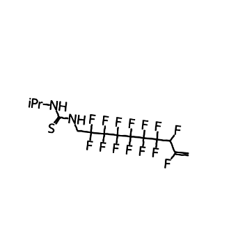 C=C(F)C(F)C(F)(F)C(F)(F)C(F)(F)C(F)(F)C(F)(F)C(F)(F)CNC(=S)NC(C)C